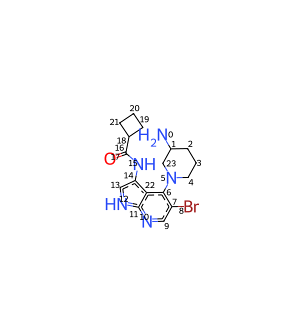 NC1CCCN(c2c(Br)cnc3[nH]cc(NC(=O)C4CCC4)c23)C1